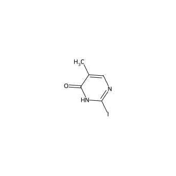 Cc1cnc(I)[nH]c1=O